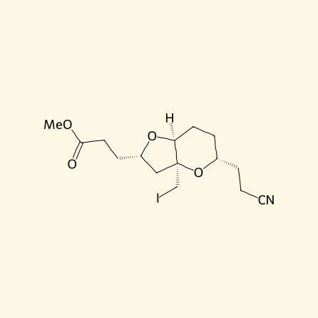 COC(=O)CC[C@H]1C[C@]2(CI)O[C@@H](CCC#N)CC[C@@H]2O1